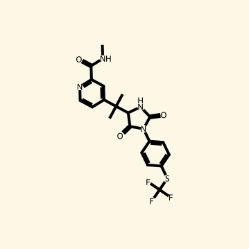 CNC(=O)c1cc(C(C)(C)C2NC(=O)N(c3ccc(SC(F)(F)F)cc3)C2=O)ccn1